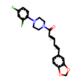 O=C(/C=C/C=C/c1ccc2c(c1)OCO2)N1CCN(c2ccc(F)cc2F)CC1